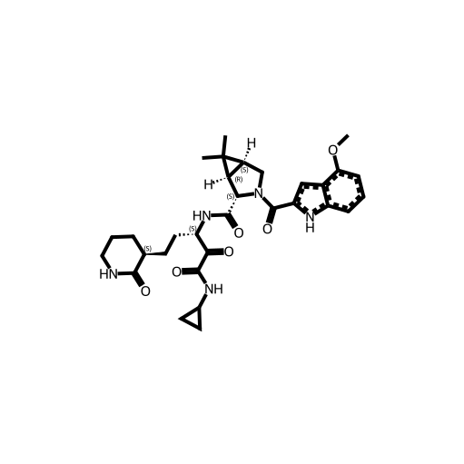 COc1cccc2[nH]c(C(=O)N3C[C@H]4[C@@H]([C@H]3C(=O)N[C@@H](CC[C@@H]3CCCNC3=O)C(=O)C(=O)NC3CC3)C4(C)C)cc12